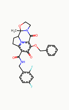 CC12OCCN1C(=O)c1c(OCc3ccccc3)c(=O)c(C(=O)NCc3ccc(F)cc3F)c3n1C2CC3